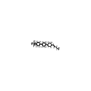 FCC/C=C/C1CCC(c2ccc(-c3ccc(C(F)(F)F)cc3)cc2)CC1